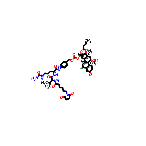 CCCC1O[C@@H]2CC3[C@@H]4C[C@H](F)C5=CC(=O)C=C[C@]5(C)C4[C@@H](O)C[C@]3(C)[C@]2(C(=O)COC(=O)OCc2ccc(NC(=O)[C@H](CCCNC(N)=O)NC(=O)C(NC(=O)CCCCCN3C(=O)C=CC3=O)C(C)C)cc2)O1